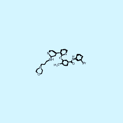 Cc1ccc(C(=O)Nc2cccc(C(C)C)c2)cc1Oc1ncccc1C1=CC=NC(NCCCN2CCOCC2)C1